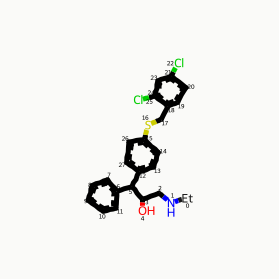 CCNCC(O)C(c1ccccc1)c1ccc(SCc2ccc(Cl)cc2Cl)cc1